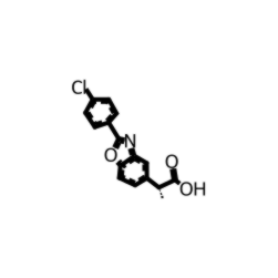 C[C@@H](C(=O)O)c1ccc2oc(-c3ccc(Cl)cc3)nc2c1